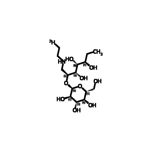 [2H]CCNC[C@H](O[C@H]1O[C@H](CO)[C@@H](O)[C@H](O)[C@H]1O)[C@@H](O)[C@H](O)[C@H](O)CC